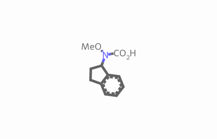 CON(C(=O)O)C1CCc2ccccc21